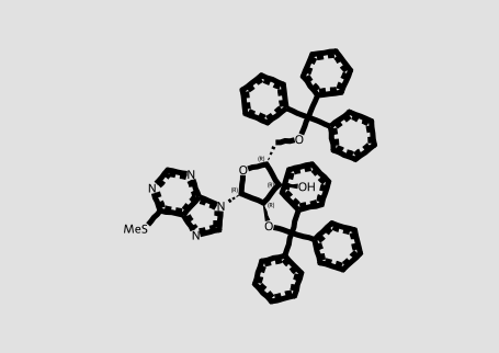 CSc1ncnc2c1ncn2[C@@H]1O[C@H](COC(c2ccccc2)(c2ccccc2)c2ccccc2)[C@@H](O)[C@H]1OC(c1ccccc1)(c1ccccc1)c1ccccc1